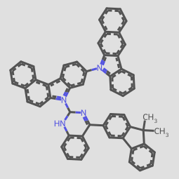 CC1(C)c2ccccc2-c2cc(C3=NC(n4c5cc(-n6c7ccccc7c7cc8ccccc8cc76)ccc5c5c6ccccc6ccc54)Nc4ccccc43)ccc21